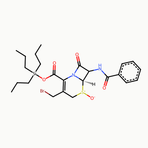 CCC[Si](CCC)(CCC)OC(=O)C1=C(CBr)C[S+]([O-])[C@@H]2C(NC(=O)c3ccccc3)C(=O)N12